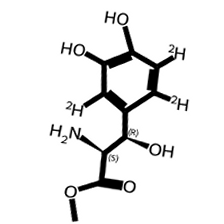 [2H]c1c([2H])c([C@@H](O)[C@H](N)C(=O)OC)c([2H])c(O)c1O